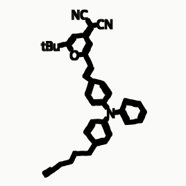 C=CCCCCc1ccc(N(c2ccccc2)c2ccc(/C=C/C3=CC(=C(C#N)C#N)C=C(C(C)(C)C)O3)cc2)cc1